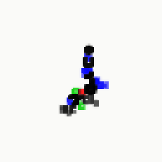 Cc1ncc(Cl)c(C(C)Oc2ccc3[nH]nc(-c4cnn(C5CCN(C6CCC6)CC5)c4)c3c2)c1Cl